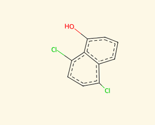 Oc1cccc2c(Cl)ccc(Cl)c12